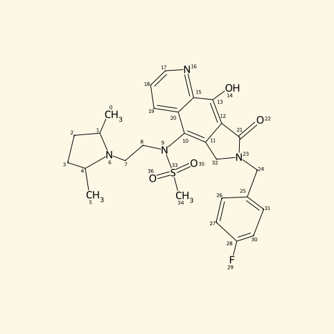 CC1CCC(C)N1CCN(c1c2c(c(O)c3ncccc13)C(=O)N(Cc1ccc(F)cc1)C2)S(C)(=O)=O